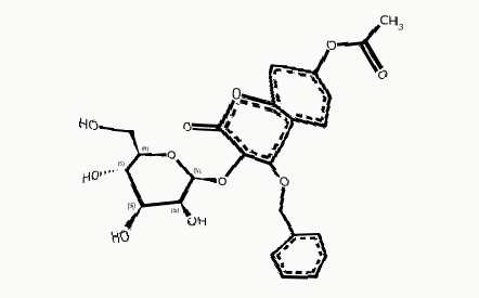 CC(=O)Oc1ccc2c(OCc3ccccc3)c(O[C@@H]3O[C@H](CO)[C@@H](O)[C@H](O)[C@@H]3O)c(=O)oc2c1